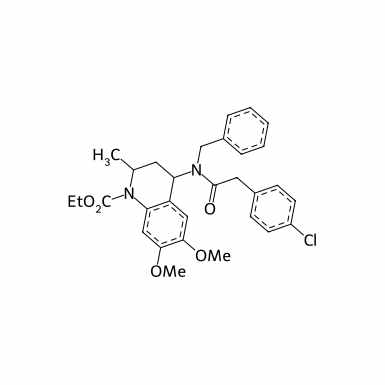 CCOC(=O)N1c2cc(OC)c(OC)cc2C(N(Cc2ccccc2)C(=O)Cc2ccc(Cl)cc2)CC1C